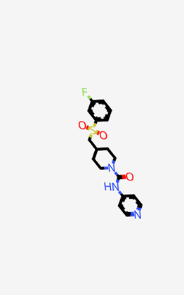 O=C(Nc1ccncc1)N1CCC(CS(=O)(=O)c2cccc(F)c2)CC1